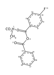 CC(=O)O.O=C(OC(=O)c1ccc(F)cc1)c1ccccc1